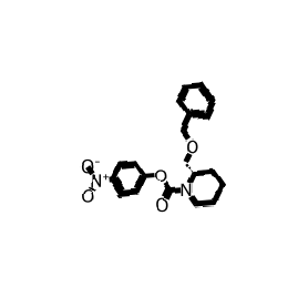 O=C(Oc1ccc([N+](=O)[O-])cc1)N1CCCC[C@H]1COCc1ccccc1